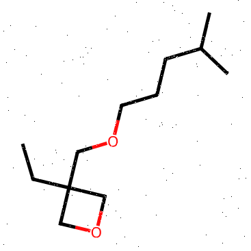 CCC1(COCCCC(C)C)COC1